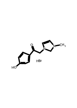 Br.CN1C=CN(CC(=O)c2ccc(O)cc2)C1